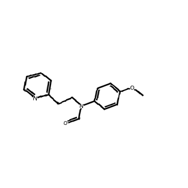 COc1ccc(N(C=O)CCc2ccccn2)cc1